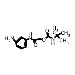 CC(C)(C)NC(=O)OCC(=O)Nc1cccc(N)c1